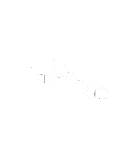 CCN(CC)CCCC(C)Nc1cc(C)nc(NCCc2c[nH]c3ccc(O)cc23)n1